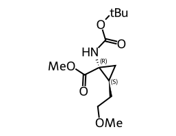 COCC[C@@H]1C[C@]1(NC(=O)OC(C)(C)C)C(=O)OC